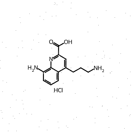 Cl.NCCCc1cc(C(=O)O)nc2c(N)cccc12